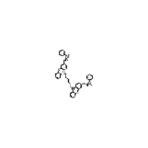 CN(/N=C/c1ccc2c(c1)Sc1ccccc1N2CCCCCCN1c2ccccc2Sc2cc(/C=N/N(C)c3ccccc3)ccc21)c1ccccc1